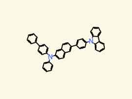 c1ccc(-c2ccc(N(c3ccccc3)c3ccc4cc(-c5ccc(-n6c7ccccc7c7ccccc76)cc5)ccc4c3)cc2)cc1